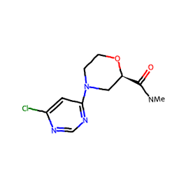 CNC(=O)[C@H]1CN(c2cc(Cl)ncn2)CCO1